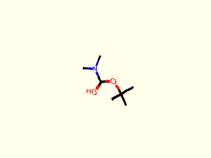 CN(C)C(O)OC(C)(C)C